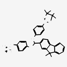 CC1(C)c2ccccc2-c2ccc(C(Oc3ccc(OS(=O)(=O)F)cc3)Oc3ccc(B4OC(C)(C)C(C)(C)O4)cc3)cc21